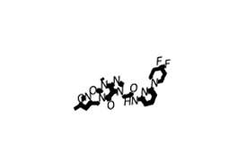 Cc1cc(Cn2c(=O)c3c(ncn3CC(=O)Nc3cccc(N4CCC(F)(F)CC4)n3)n(C)c2=O)no1